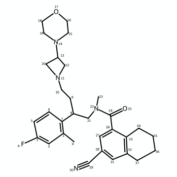 Cc1cc(F)ccc1C(CCN1CC(N2CCOCC2)C1)CN(C)C(=O)c1cc(C#N)cc2c1CCCC2